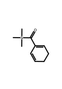 C[Si](C)(C)C(=O)C1=CCCC=C1